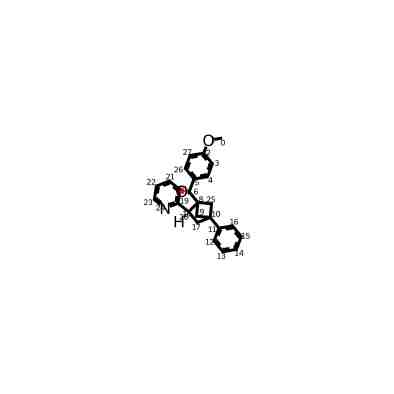 COc1ccc(C(=O)C23CC(c4ccccc4)(C[C@H]2c2ccccn2)C3)cc1